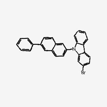 Brc1ccc2c3ccccc3n(-c3ccc4cc(-c5ccccc5)ccc4c3)c2c1